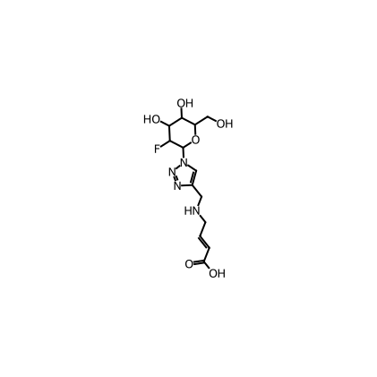 O=C(O)/C=C/CNCc1cn(C2OC(CO)C(O)C(O)C2F)nn1